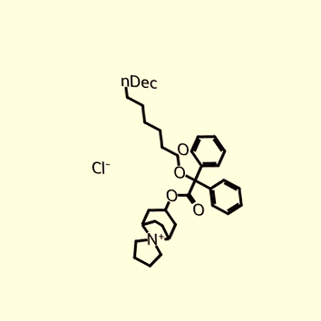 CCCCCCCCCCCCCCCC(=O)OC(C(=O)OC1CC2CCC(C1)[N+]21CCCC1)(c1ccccc1)c1ccccc1.[Cl-]